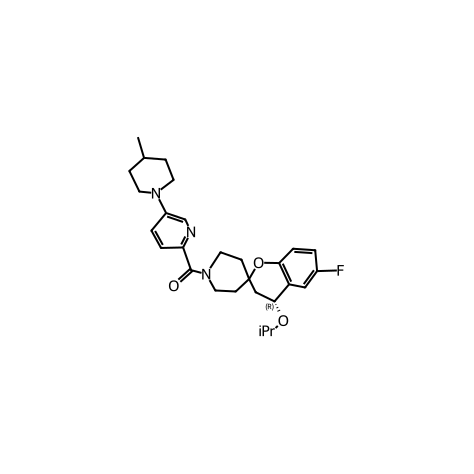 CC1CCN(c2ccc(C(=O)N3CCC4(CC3)C[C@@H](OC(C)C)c3cc(F)ccc3O4)nc2)CC1